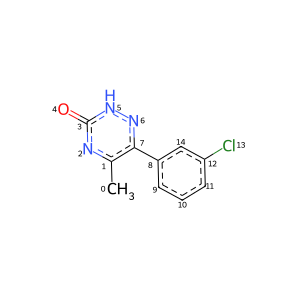 Cc1nc(=O)[nH]nc1-c1cccc(Cl)c1